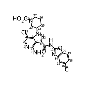 Nc1ncc(Cl)c2c1c(C(=O)Nc1nc3cc(Cl)ccc3o1)nn2[C@@H]1CCCN(C(=O)O)C1